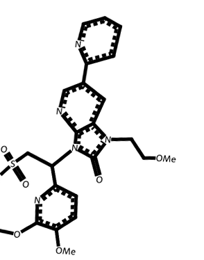 CCOc1nc(C(CS(C)(=O)=O)n2c(=O)n(CCOC)c3cc(-c4ccccn4)cnc32)ccc1OC